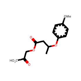 COc1ccc(OC(C)CC(=O)OCC(=O)C(=O)O)cc1